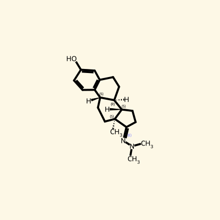 CN(C)/N=C1\CC[C@H]2[C@@H]3CCc4cc(O)ccc4[C@H]3CC[C@]12C